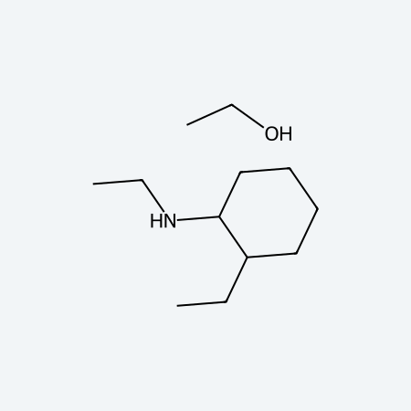 CCNC1CCCCC1CC.CCO